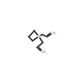 C=CC[Si]1(CC=C)CCC1